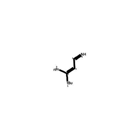 CCC/C(=C\C=N)C(C)(C)C